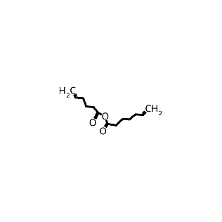 C=CCCCCC(=O)OC(=O)CCCC=C